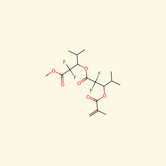 C=C(C)C(=O)OC(C(C)C)C(F)(F)C(=O)OC(C(C)C)C(F)(F)C(=O)OC